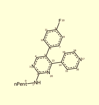 CCCCCNc1ncc(-c2ccc(F)cc2)c(-c2ccncc2)n1